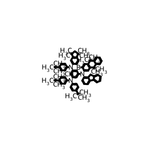 Cc1cc(C(C)(C)C)ccc1N1c2cc3c(cc2B2c4cc5c(cc4N(c4cccc6c4Cc4ccccc4-6)c4cc(N(c6ccc(C(C)(C)C)cc6)c6ccc(C(C)(C)C)cc6)cc1c42)C(C)(C)c1ccccc1C5(C)C)C(C)(C)CC3(C)C